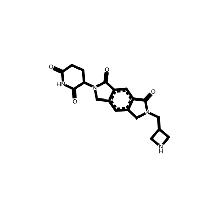 O=C1CCC(N2Cc3cc4c(cc3C2=O)C(=O)N(CC2CNC2)C4)C(=O)N1